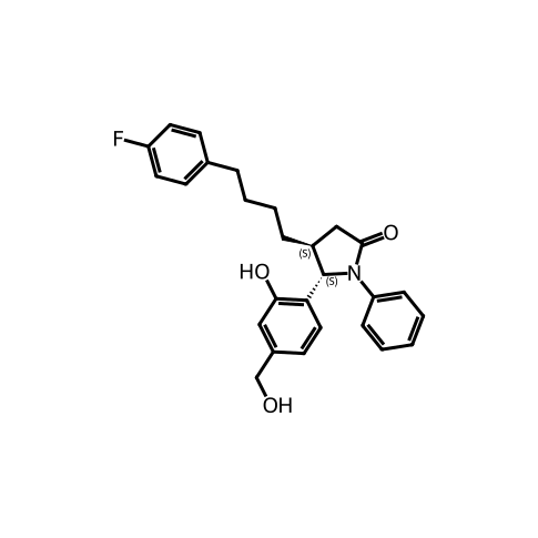 O=C1C[C@H](CCCCc2ccc(F)cc2)[C@@H](c2ccc(CO)cc2O)N1c1ccccc1